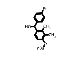 CCCCOc1ccc(C(O)c2ccc(CC)cc2)c(C)c1C